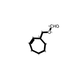 O=COCC1C=CCCCC1